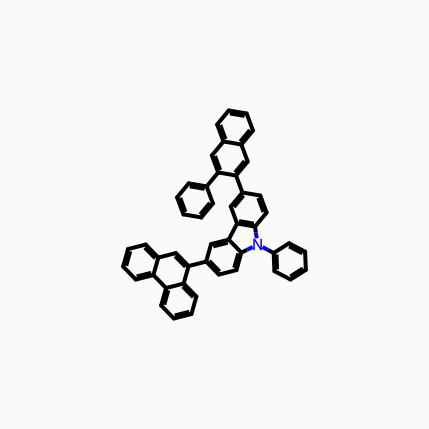 c1ccc(-c2cc3ccccc3cc2-c2ccc3c(c2)c2cc(-c4cc5ccccc5c5ccccc45)ccc2n3-c2ccccc2)cc1